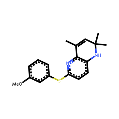 COc1cccc(Sc2ccc3c(n2)C(C)=CC(C)(C)N3)c1